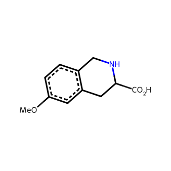 COc1ccc2c(c1)CC(C(=O)O)NC2